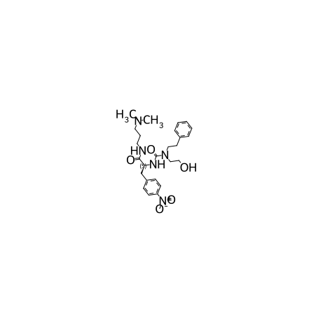 CN(C)CCCNC(=O)[C@H](Cc1ccc([N+](=O)[O-])cc1)NC(=O)N(CCO)CCc1ccccc1